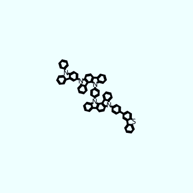 c1ccc(-n2c3ccccc3c3cc(-n4c5ccccc5c5c4ccc4c6ccccc6n(-c6ccc(-n7c8ccccc8c8ccc9c(c%10ccccc%10n9-c9ccc(-c%10ccc%11sc%12ccccc%12c%11c%10)cc9)c87)cc6)c45)ccc32)cc1